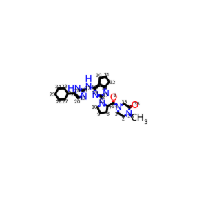 CN1CCN(C(=O)C2CCCN2c2nc3c(c(Nc4ncc(C5CCCCC5)[nH]4)n2)CCC3)CC1=O